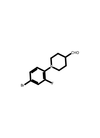 O=CC1CCN(c2ccc(Br)cc2F)CC1